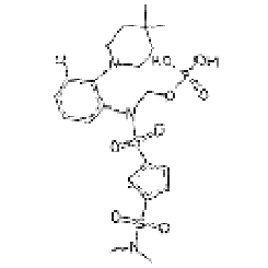 CN(C)S(=O)(=O)c1ccc(S(=O)(=O)N(COP(=O)(O)O)c2cccc(Cl)c2N2CCC(C)(C)CC2)s1